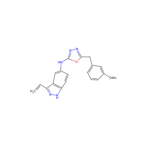 C=Cc1n[nH]c2ccc(Nc3nnc(Cc4cccc(OC)c4)o3)cc12